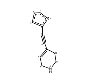 C(#Cc1cccs1)C1=CCNCC1